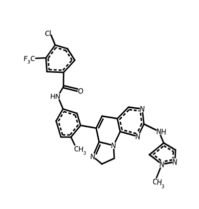 Cc1ccc(NC(=O)c2ccc(Cl)c(C(F)(F)F)c2)cc1C1=Cc2cnc(Nc3cnn(C)c3)nc2N2CCN=C12